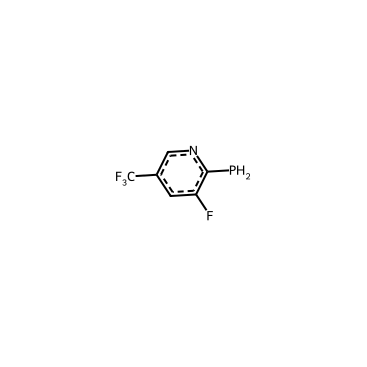 Fc1cc(C(F)(F)F)cnc1P